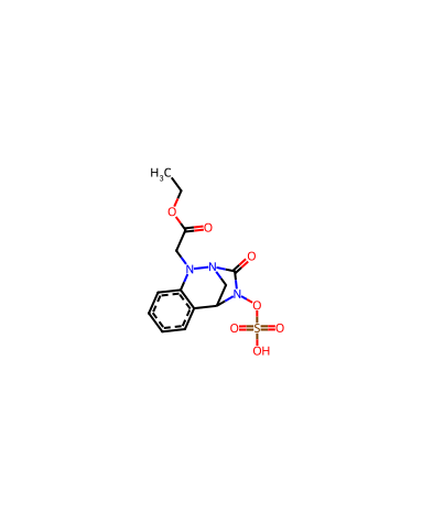 CCOC(=O)CN1c2ccccc2C2CN1C(=O)N2OS(=O)(=O)O